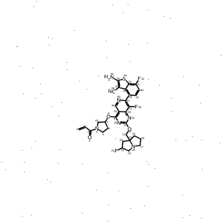 C=CC(=O)N1CCC(Oc2nc(OCC34CCCN3CC(F)C4)nc3c(F)c(-c4ccc(F)c5sc(N)c(C#N)c45)ncc23)C1